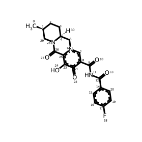 C[C@H]1CC[C@H]2Cn3cc(C(=O)NC(=O)c4ccc(F)cc4)c(=O)c(O)c3C(=O)N2C1